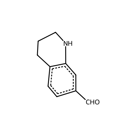 O=Cc1ccc2c(c1)NCCC2